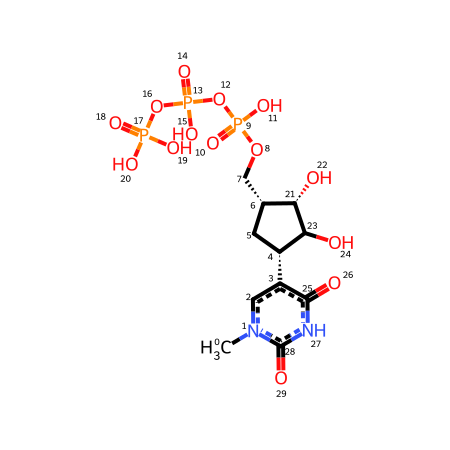 Cn1cc([C@@H]2C[C@H](COP(=O)(O)OP(=O)(O)OP(=O)(O)O)[C@H](O)C2O)c(=O)[nH]c1=O